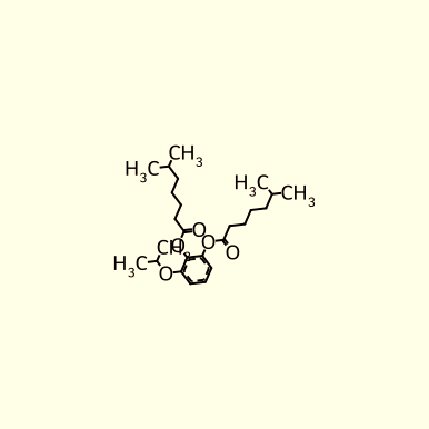 CC(C)CCCCC(=O)Oc1cccc(OC(C)C)c1OC(=O)CCCCC(C)C